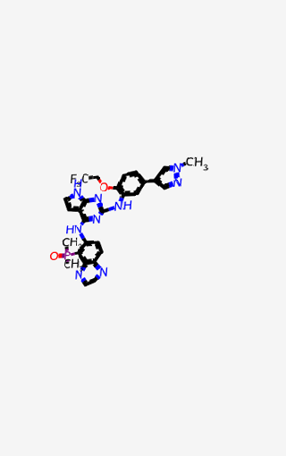 Cn1cc(-c2ccc(OCC(F)(F)F)c(Nc3nc(Nc4ccc5nccnc5c4P(C)(C)=O)c4cc[nH]c4n3)c2)cn1